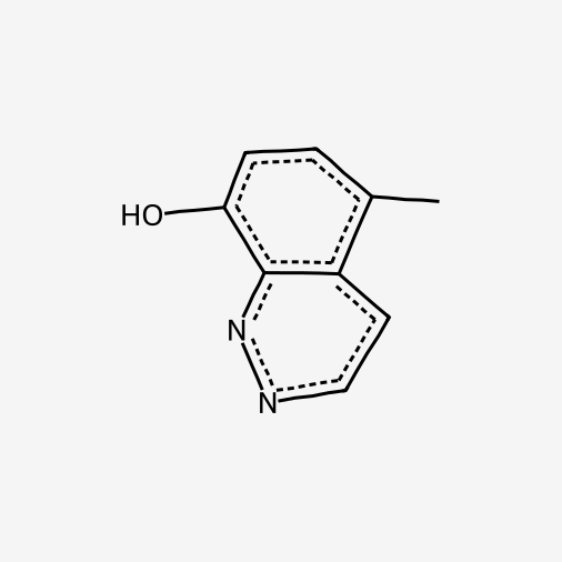 Cc1ccc(O)c2nnccc12